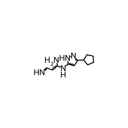 N=C/C=C(\N)Nc1cc(C2CCCC2)n[nH]1